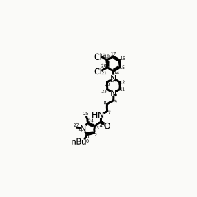 CCCCc1cc(C(=O)NCCCN2CCN(c3cccc(Cl)c3Cl)CC2)c(C)n1C